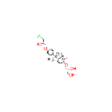 CC(C)(c1ccc(OCC(O)CCl)cc1)c1ccc(OCC(O)CO)c(I)c1